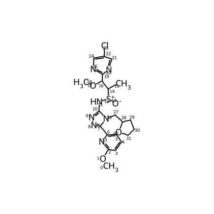 COc1cccc(-c2nnc(N[S+]([O-])C(C)C(OC)c3ncc(Cl)cn3)n2CC2CCCO2)n1